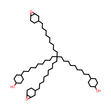 OC1CCC(CCCCCCCCCC(CCCCCCCCCC2CCC(O)CC2)(CCCCCCCCCC2CCC3OC3C2)CCCCCCCCCC2CCC3OC3C2)CC1